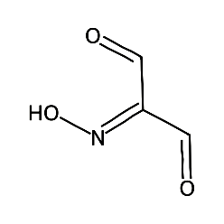 O=CC(C=O)=NO